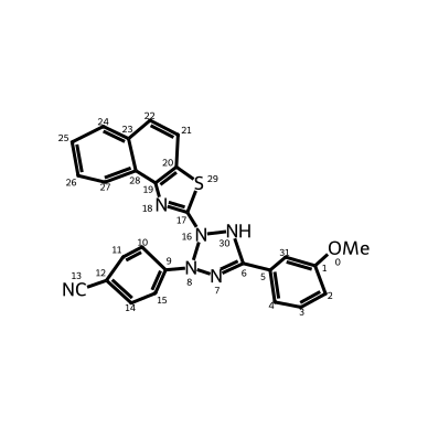 COc1cccc(C2=NN(c3ccc(C#N)cc3)N(c3nc4c(ccc5ccccc54)s3)N2)c1